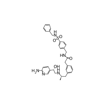 C[C@H](Cc1cccc(CC(=O)NCc2ccc(S(=O)(=O)NCc3ccccc3)cc2)c1)NC[C@@H](O)c1ccc(N)nc1